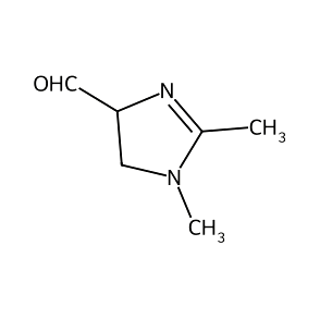 CC1=NC(C=O)CN1C